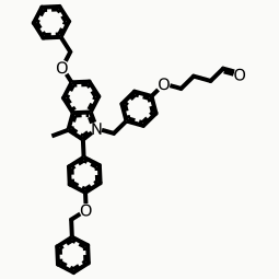 Cc1c(-c2ccc(OCc3ccccc3)cc2)n(Cc2ccc(OCCCC=O)cc2)c2ccc(OCc3ccccc3)cc12